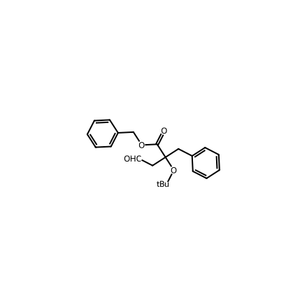 CC(C)(C)OC(CC=O)(Cc1ccccc1)C(=O)OCc1ccccc1